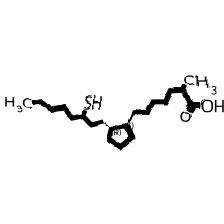 CCCCCC(S)CC[C@H]1CCC[C@@H]1CCCCCC(C)C(=O)O